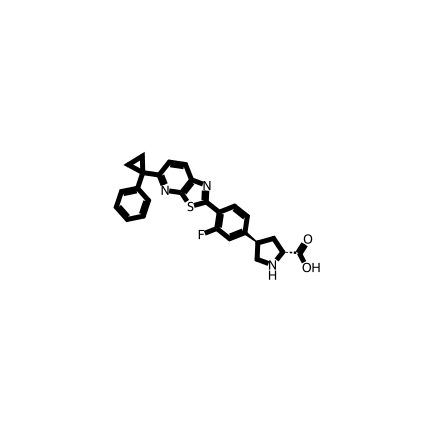 O=C(O)[C@H]1C[C@H](c2ccc(-c3nc4ccc(C5(c6ccccc6)CC5)nc4s3)c(F)c2)CN1